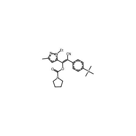 CCn1nc(C)cc1/C(OC(=O)N1CCCC1)=C(\C#N)c1ccc([Si](C)(C)C)cc1